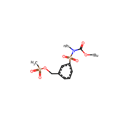 CCCN(C(=O)OC(C)(C)C)S(=O)(=O)c1cccc(COS(C)(=O)=O)c1